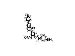 COc1cc(-n2cnc3cc(-c4ccc(Cl)cc4)sc3c2=O)ccc1OCC(=O)N1CCCN(C)CC1